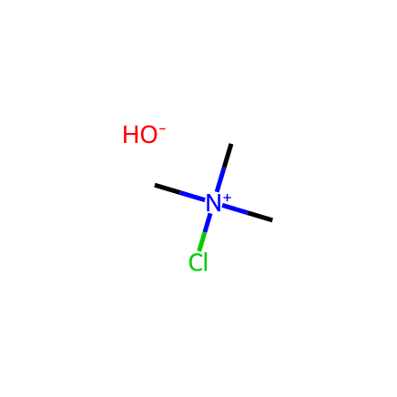 C[N+](C)(C)Cl.[OH-]